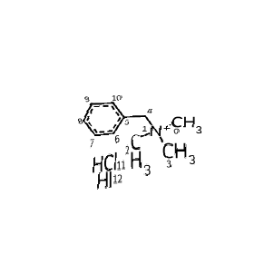 C[N+](C)(C)Cc1ccccc1.Cl.I